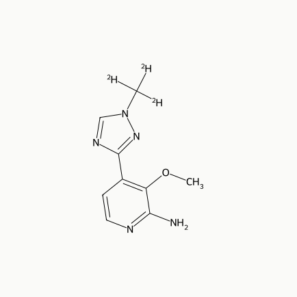 [2H]C([2H])([2H])n1cnc(-c2ccnc(N)c2OC)n1